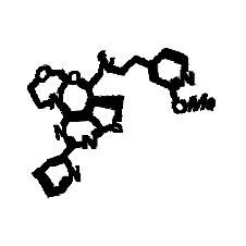 COc1cc(CCN(C)C(=O)c2csc3nc(-c4ccccn4)nc(N4CCOCC4)c23)ccn1